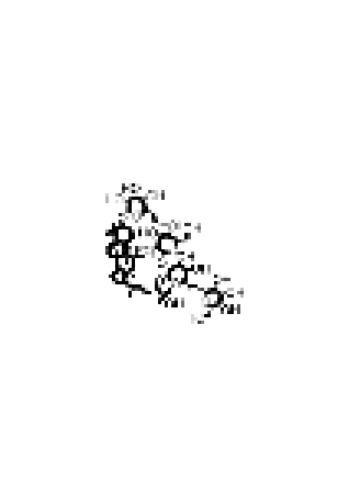 C[C@H](CC[C@@H](O[C@@H]1O[C@H](CO[C@H]2O[C@H](CO)[C@@H](O)[C@H](O)[C@H]2O)[C@@H](O)[C@H](O)[C@H]1O[C@@H]1O[C@H](CO)[C@@H](O)[C@H](O)[C@H]1O)C(C)(C)O)[C@H]1CC[C@@]2(C)[C@]3(C)CC=C4[C@@H](CC[C@H](O[C@@H]5O[C@H](CO)[C@@H](O)[C@H](O)[C@H]5O)C4(C)C)[C@]3(C)[C@H](O)C[C@]12C